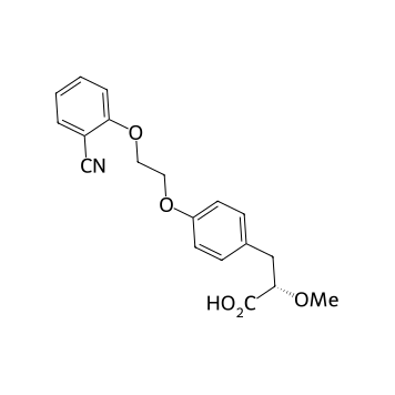 CO[C@@H](Cc1ccc(OCCOc2ccccc2C#N)cc1)C(=O)O